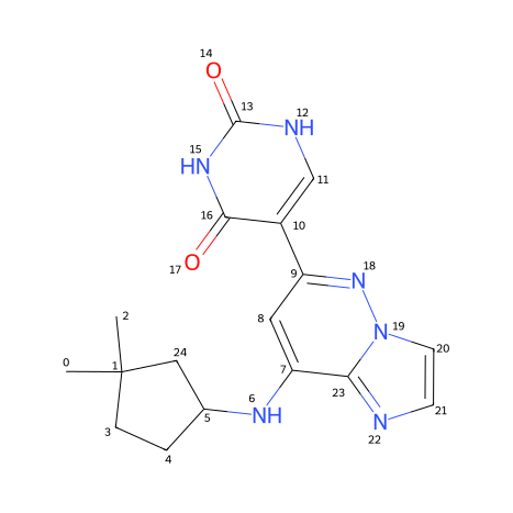 CC1(C)CCC(Nc2cc(-c3c[nH]c(=O)[nH]c3=O)nn3ccnc23)C1